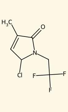 CC1=CC(Cl)N(CC(F)(F)F)C1=O